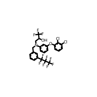 OC(CN(Cc1cccc(C(F)(F)C(F)(F)C(F)(F)F)c1)c1cccc(Oc2cccc(Cl)c2Cl)c1)C(F)(F)F